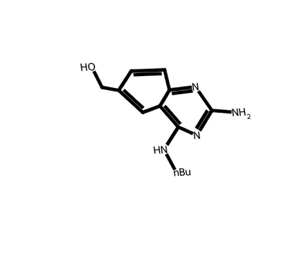 CCCCNc1nc(N)nc2ccc(CO)cc12